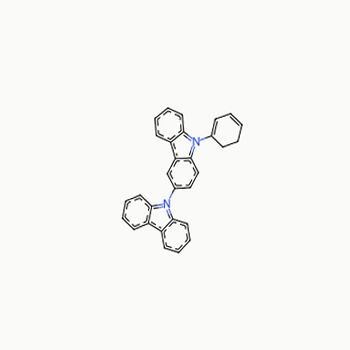 C1=CCCC(n2c3ccccc3c3cc(-n4c5ccccc5c5ccccc54)ccc32)=C1